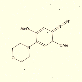 COC1=CC(=[N+]=[N-])C(OC)C=C1N1CCOCC1